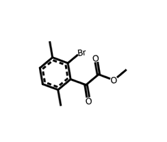 COC(=O)C(=O)c1c(C)ccc(C)c1Br